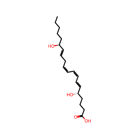 CCCCC[C@H](O)/C=C/C\C=C/C=C\C=C\[C@@H](O)CCCC(=O)O